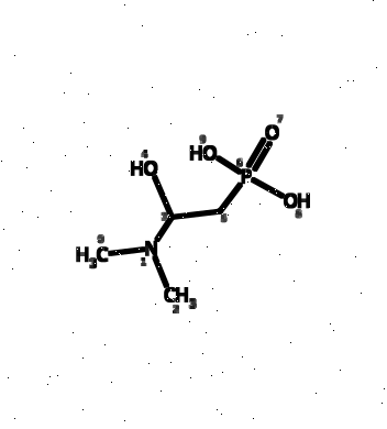 CN(C)C(O)CP(=O)(O)O